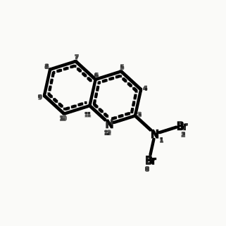 BrN(Br)c1ccc2ccccc2n1